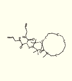 C=CCNC(=O)C(ON1C(C)(C)CC2(CC1(C)C)OCCCCCCCCCCCN(C)C2=O)C(=O)NCC=C